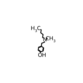 CCCCCN(C)CCc1ccc(O)cc1